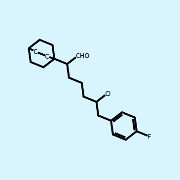 O=CC(CCCC(Cl)Cc1ccc(F)cc1)C12CCC(CC1)CC2